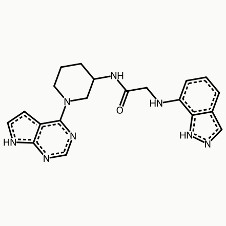 O=C(CNc1cccc2cn[nH]c12)NC1CCCN(c2ncnc3[nH]ccc23)C1